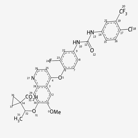 COc1cc2c(Oc3ccc(NC(=O)Nc4ccc(Cl)c(C(F)(F)F)c4)cc3F)ccnc2cc1OC(C)C1(C(=O)O)CC1